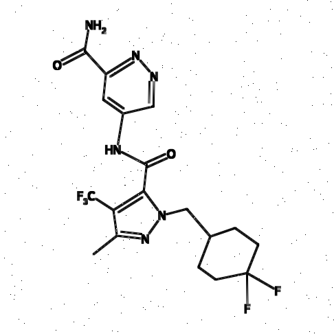 Cc1nn(CC2CCC(F)(F)CC2)c(C(=O)Nc2cnnc(C(N)=O)c2)c1C(F)(F)F